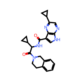 O=C(NC(C(=O)N1CCc2ccccc2C1)C1CC1)c1c[nH]c2ncc(C3CC3)nc12